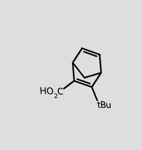 CC(C)(C)C1=C(C(=O)O)C2C=CC1C2